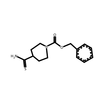 NC(=S)C1CCN(C(=O)OCc2ccccc2)CC1